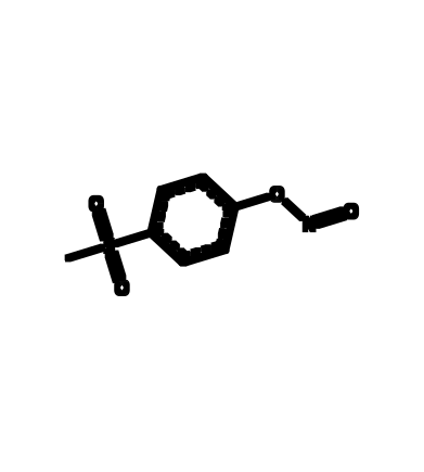 CS(=O)(=O)c1ccc(ON=O)cc1